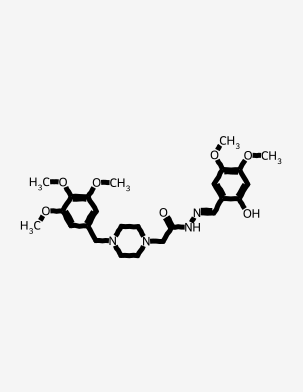 COc1cc(O)c(/C=N/NC(=O)CN2CCN(Cc3cc(OC)c(OC)c(OC)c3)CC2)cc1OC